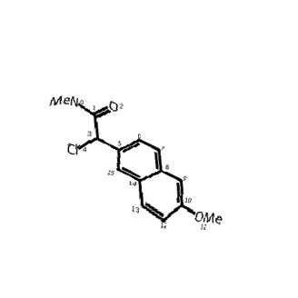 CNC(=O)C(Cl)c1ccc2cc(OC)ccc2c1